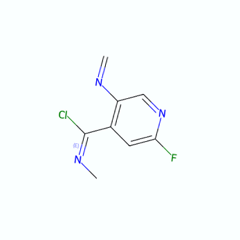 C=Nc1cnc(F)cc1/C(Cl)=N\C